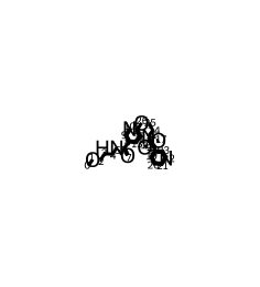 COCCCNC(=O)c1cnc2c(c1)N(S(=O)(=O)c1cccnc1)CCO2